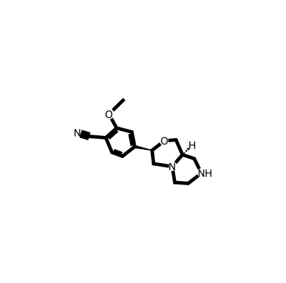 COc1cc([C@@H]2CN3CCNC[C@@H]3CO2)ccc1C#N